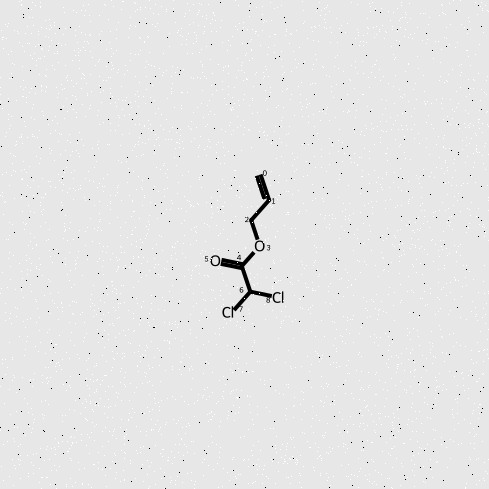 C=CCOC(=O)C(Cl)Cl